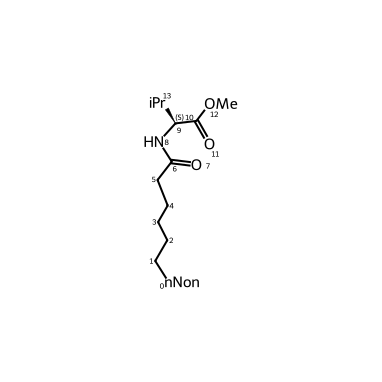 CCCCCCCCCCCCCCC(=O)N[C@H](C(=O)OC)C(C)C